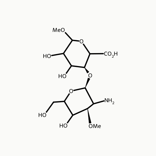 COC1OC(C(=O)O)[C@@H](O[C@@H]2OC(CO)C(O)[C@H](OC)C2N)C(O)C1O